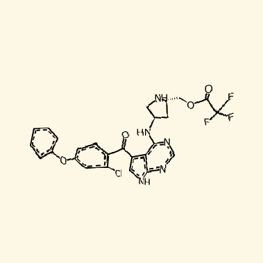 O=C(c1ccc(Oc2ccccc2)cc1Cl)c1c[nH]c2ncnc(N[C@H]3CN[C@H](COC(=O)C(F)(F)F)C3)c12